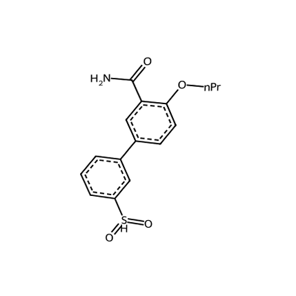 CCCOc1ccc(-c2cccc([SH](=O)=O)c2)cc1C(N)=O